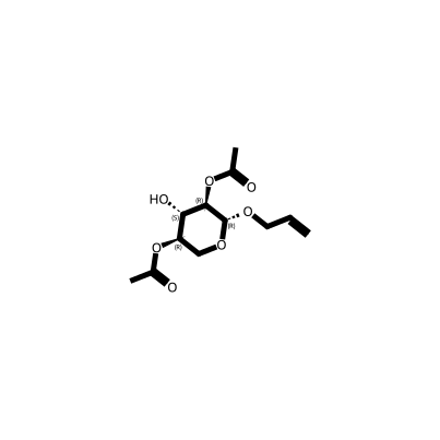 C=CCO[C@@H]1OC[C@@H](OC(C)=O)[C@H](O)[C@H]1OC(C)=O